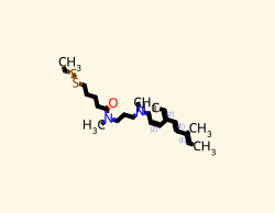 C/C=C(\C=C/CN(C)CCCN(C)C(=O)CCCCSSCC)/C=C/C(C)=C/C